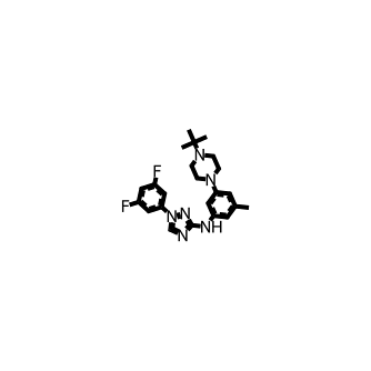 Cc1cc(Nc2ncn(-c3cc(F)cc(F)c3)n2)cc(N2CCN(C(C)(C)C)CC2)c1